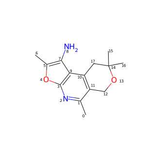 Cc1nc2oc(C)c(N)c2c2c1COC(C)(C)C2